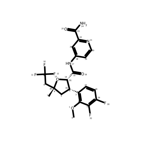 COc1c([C@@H]2C[C@](C)(CC(F)(F)F)O[C@@H]2C(=O)Nc2ccnc(C(N)=O)c2)ccc(F)c1F